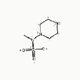 CN(N1CCNCC1)S(=O)(=O)Cl